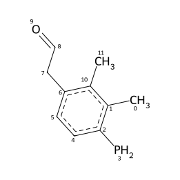 Cc1c(P)ccc(CC=O)c1C